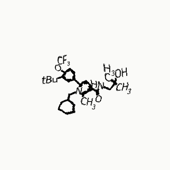 Cc1c(C(=O)NCC(C)(C)O)cc(-c2ccc(OC(F)(F)F)c(C(C)(C)C)c2)n1CC1CCCCC1